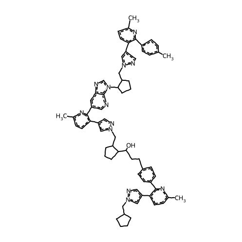 Cc1ccc(-c2nc(C)ccc2-c2cnn(CC3CCCC3n3cnc4cc(-c5nc(C)ccc5-c5cnn(CC6CCCC6C(O)CCc6ccc(-c7nc(C)ccc7-c7cnn(CC8CCCC8)c7)cc6)c5)cnc43)c2)cc1